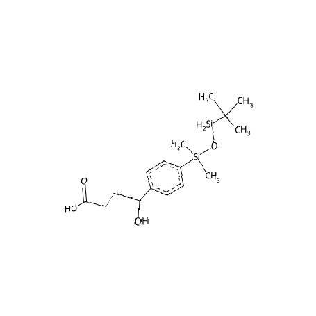 CC(C)(C)[SiH2]O[Si](C)(C)c1ccc(C(O)CCC(=O)O)cc1